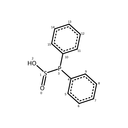 O=S(O)P(c1ccccc1)c1ccccc1